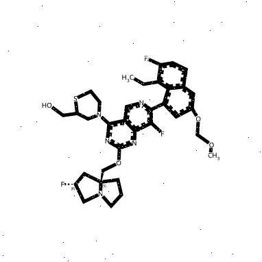 CCc1c(F)ccc2cc(OCOC)cc(-c3ncc4c(N5CCSC(CO)C5)nc(OC[C@@]56CCCN5C[C@H](F)C6)nc4c3F)c12